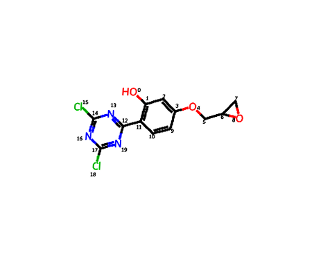 Oc1cc(OCC2CO2)ccc1-c1nc(Cl)nc(Cl)n1